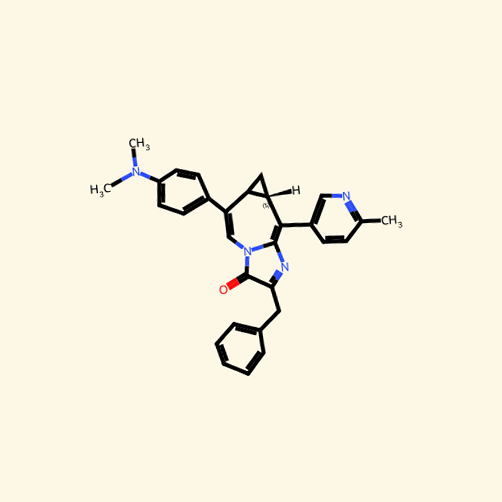 Cc1ccc(C2=C3N=C(Cc4ccccc4)C(=O)N3C=C(c3ccc(N(C)C)cc3)C3C[C@H]23)cn1